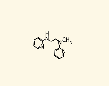 CN(CCNc1ccccn1)c1ccccn1